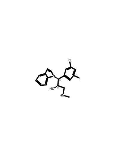 CNC[C@@H](O)[C@H](c1cc(F)cc(Cl)c1)n1ccc2ccccc21